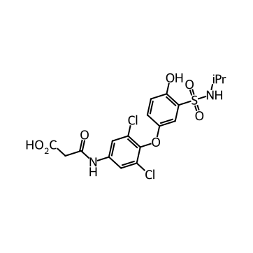 CC(C)NS(=O)(=O)c1cc(Oc2c(Cl)cc(NC(=O)CC(=O)O)cc2Cl)ccc1O